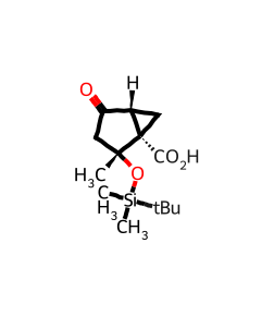 CC(C)(C)[Si](C)(C)O[C@]1(C)CC(=O)[C@@H]2C[C@]21C(=O)O